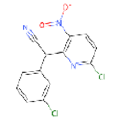 N#CC(c1cccc(Cl)c1)c1nc(Cl)ccc1[N+](=O)[O-]